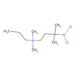 CCC[N+](C)(C)CCC(C)(C)N(Cl)Cl